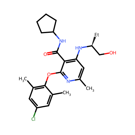 CC[C@@H](CO)Nc1cc(C)nc(Oc2c(C)cc(Cl)cc2C)c1C(=O)NC1CCCC1